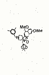 COC1=CC2CN3C(=O)N(C[C@@H]4COC(C)(C)O4)C4(CCN(Cc5cc(C)cc(C)c5)CC4)C3=CC(C)C2C(OC)=C1